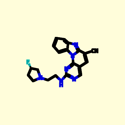 N#Cc1cc2cnc(NCCN3CC[C@H](F)C3)nc2n2c1nc1ccccc12